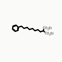 CCOC(=O)C(CCCCCCCCc1ccccc1)C(=O)OCC